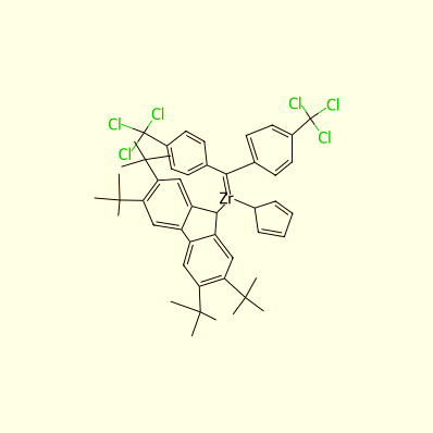 CC(C)(C)c1cc2c(cc1C(C)(C)C)[CH]([Zr](=[C](c1ccc(C(Cl)(Cl)Cl)cc1)c1ccc(C(Cl)(Cl)Cl)cc1)[CH]1C=CC=C1)c1cc(C(C)(C)C)c(C(C)(C)C)cc1-2